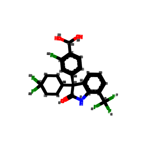 O=C1Nc2c(C(F)(F)F)cccc2[C@@]1(c1ccc(B(O)O)c(F)c1)C1CCC(F)(F)CC1